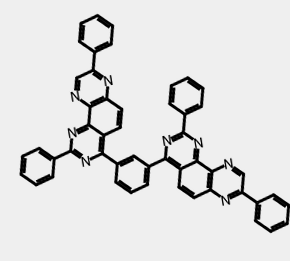 c1ccc(-c2cnc3c(ccc4c(-c5cccc(-c6nc(-c7ccccc7)nc7c6ccc6nc(-c8ccccc8)cnc67)c5)nc(-c5ccccc5)nc43)n2)cc1